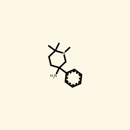 CN1CC(N)(c2ccccc2)CCC1(C)C